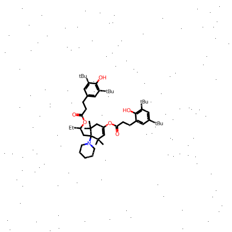 CCC(CC1(N2CCCCC2)C(C)(C)C=C(OC(=O)CCc2cc(C(C)(C)C)cc(C(C)(C)C)c2O)CC1(C)C)OC(=O)CCc1cc(C(C)(C)C)c(O)c(C(C)(C)C)c1